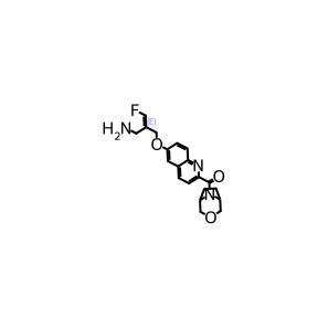 NC/C(=C\F)COc1ccc2nc(C(=O)N3C4CCC3COC4)ccc2c1